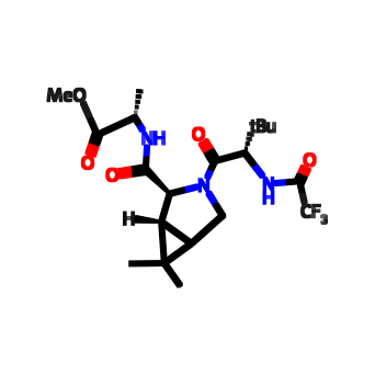 COC(=O)[C@H](C)NC(=O)[C@@H]1[C@@H]2C(CN1C(=O)[C@@H](NC(=O)C(F)(F)F)C(C)(C)C)C2(C)C